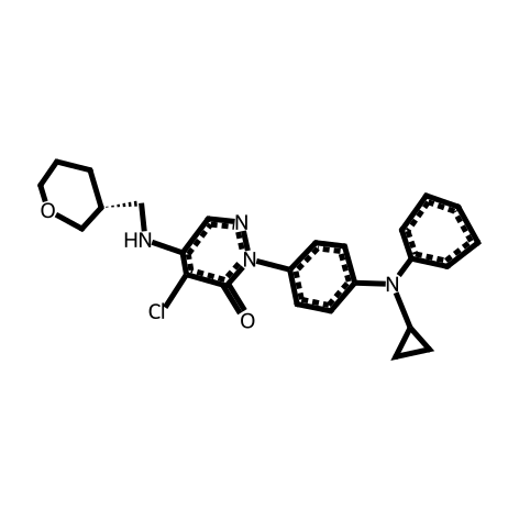 O=c1c(Cl)c(NC[C@H]2CCCOC2)cnn1-c1ccc(N(c2ccccc2)C2CC2)cc1